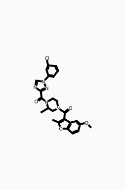 COc1ccc2oc(C)c(C(=O)N3CCN(C(=O)c4ncn(-c5cccc(Cl)c5)n4)C(C)C3)c2c1